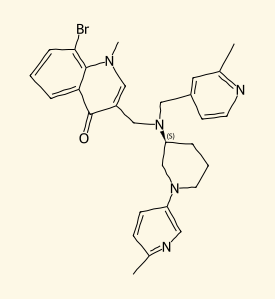 Cc1ccc(N2CCC[C@H](N(Cc3ccnc(C)c3)Cc3cn(C)c4c(Br)cccc4c3=O)C2)cn1